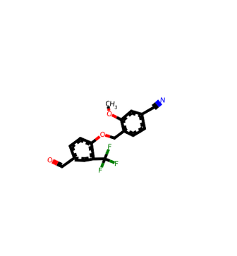 COc1cc(C#N)ccc1COc1ccc(C=O)cc1C(F)(F)F